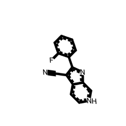 N#Cc1c2cc[nH]cc-2nc1-c1ccccc1F